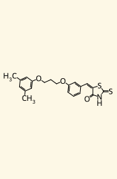 Cc1cc(C)cc(OCCCOc2cccc(C=C3SC(=S)NC3=O)c2)c1